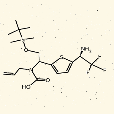 C=CCN(C(=O)O)[C@H](CO[Si](C)(C)C(C)(C)C)c1ccc([C@@H](N)C(F)(F)F)s1